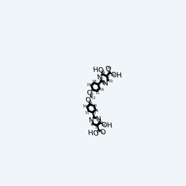 O=C(O)c1cnc(-c2ccc(OCOc3ccc(-c4ncc(C(=O)O)c(O)n4)cc3)cc2)nc1O